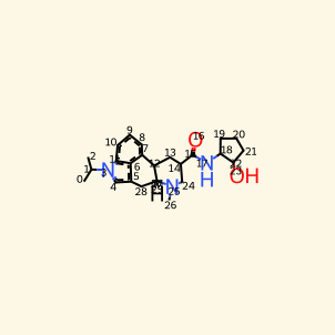 CC(C)n1cc2c3c(cccc31)C1CC(C(=O)NC3CCCC3O)CN(C)[C@@H]1C2